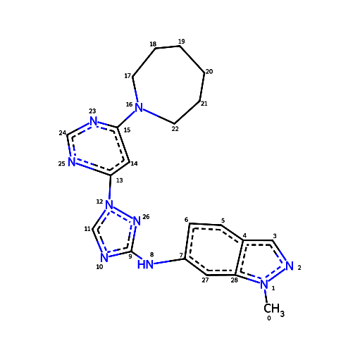 Cn1ncc2ccc(Nc3ncn(-c4cc(N5CCCCCC5)ncn4)n3)cc21